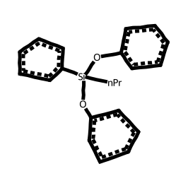 CCC[Si](Oc1ccccc1)(Oc1ccccc1)c1ccccc1